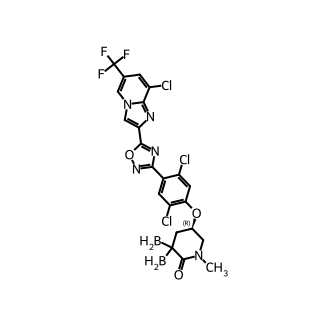 BC1(B)C[C@@H](Oc2cc(Cl)c(-c3noc(-c4cn5cc(C(F)(F)F)cc(Cl)c5n4)n3)cc2Cl)CN(C)C1=O